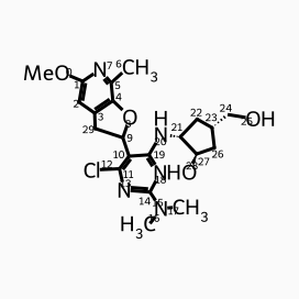 COc1cc2c(c(C)n1)OC(c1c(Cl)nc(N(C)C)nc1N[C@@H]1C[C@H](CO)C[C@H]1O)C2